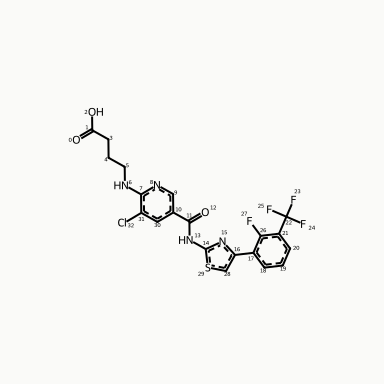 O=C(O)CCCNc1ncc(C(=O)Nc2nc(-c3cccc(C(F)(F)F)c3F)cs2)cc1Cl